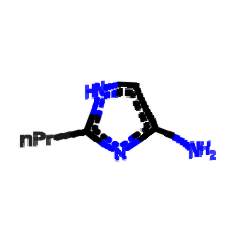 CCCc1nc(N)c[nH]1